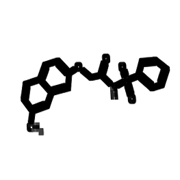 Cc1ccc2ccc(OCC(=O)NS(=O)(=O)c3ccccc3)cc2c1